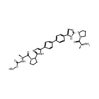 CCCCOC(=O)N[C@@H](C)C(=O)N1CCCC1c1ncc(-c2ccc(-c3ccc(-c4cnc([C@@H]5CCCN5C(=O)[C@H](C)N)[nH]4)cc3)cc2)[nH]1